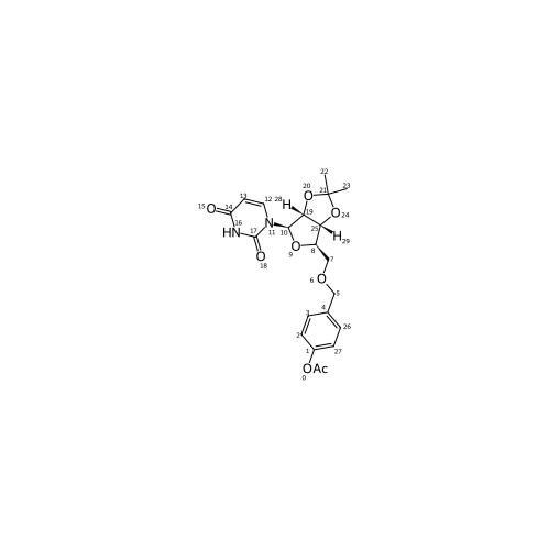 CC(=O)Oc1ccc(COC[C@H]2O[C@@H](n3ccc(=O)[nH]c3=O)[C@@H]3OC(C)(C)O[C@@H]32)cc1